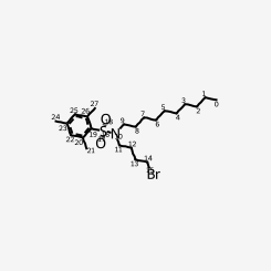 CCCCCCCCCCN(CCCCBr)S(=O)(=O)c1c(C)cc(C)cc1C